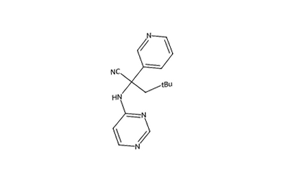 CC(C)(C)CC(C#N)(Nc1ccncn1)c1cccnc1